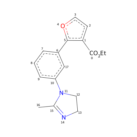 CCOC(=O)c1ccoc1-c1cccc(N2CCN=C2C)c1